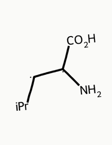 CC(C)[CH][C](N)C(=O)O